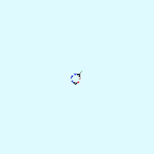 Clc1nnco1